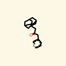 O=C(Cc1ccccc1)CC12CC3CC(CC(C3)C1)C2